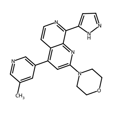 Cc1cncc(-c2cc(N3CCOCC3)nc3c(-c4ccn[nH]4)nccc23)c1